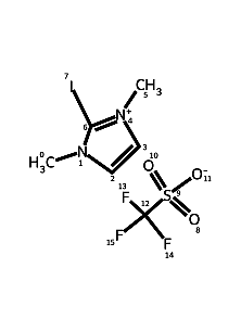 Cn1cc[n+](C)c1I.O=S(=O)([O-])C(F)(F)F